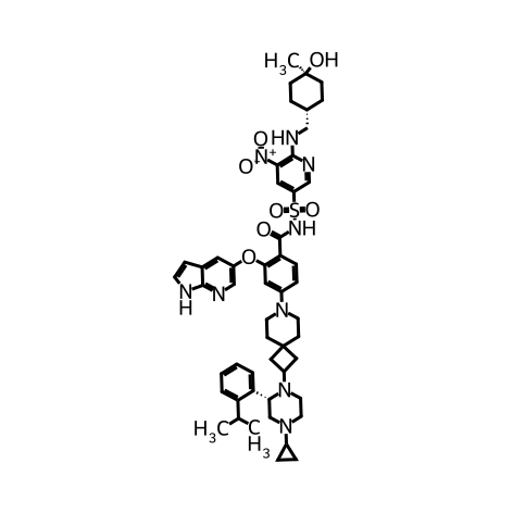 CC(C)c1ccccc1[C@H]1CN(C2CC2)CCN1C1CC2(CCN(c3ccc(C(=O)NS(=O)(=O)c4cnc(NC[C@H]5CC[C@](C)(O)CC5)c([N+](=O)[O-])c4)c(Oc4cnc5[nH]ccc5c4)c3)CC2)C1